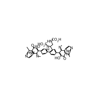 CN=C1C(c2ccc(-c3ccc(C4=C(O)C(=O)C5=C(C4=NC)c4cnc([nH]4)C5C)cc3C(CNC(=O)O)NC(=O)O)cc2)=C(O)C(=O)C2=C1c1cnc([nH]1)C2C